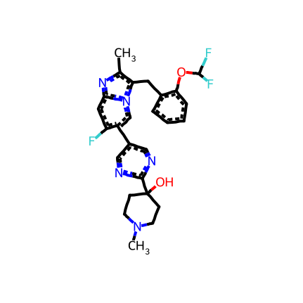 Cc1nc2cc(F)c(-c3cnc(C4(O)CCN(C)CC4)nc3)cn2c1Cc1ccccc1OC(F)F